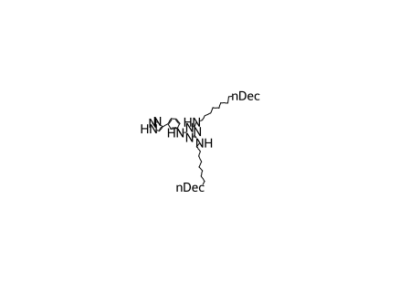 CCCCCCCCCCCCCCCCCCNc1nc(NCCCCCCCCCCCCCCCCCC)nc(Nc2cccc(-c3c[nH]nn3)c2)n1